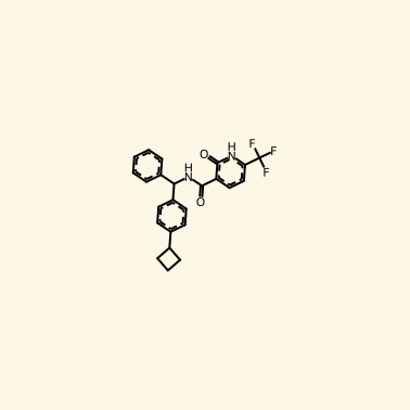 O=C(NC(c1ccccc1)c1ccc(C2CCC2)cc1)c1ccc(C(F)(F)F)[nH]c1=O